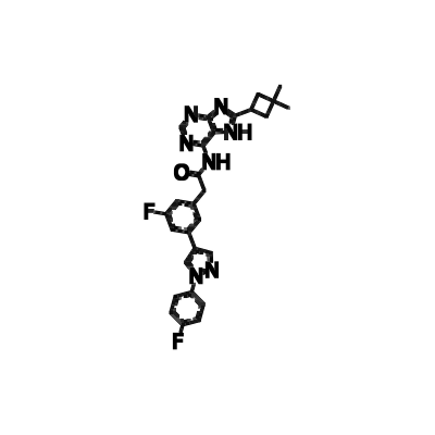 CC1(C)CC(c2nc3ncnc(NC(=O)Cc4cc(F)cc(-c5cnn(-c6ccc(F)cc6)c5)c4)c3[nH]2)C1